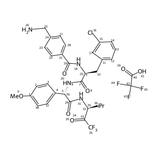 COc1ccc([C@H](NC(=O)[C@H](Cc2cccc(Cl)c2)NC(=O)c2ccc(CN)cc2)C(=O)N[C@H](C(=O)C(F)(F)F)C(C)C)cc1.O=C(O)C(F)(F)F